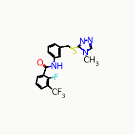 Cn1cnnc1SCc1cccc(NC(=O)c2cccc(C(F)(F)F)c2F)c1